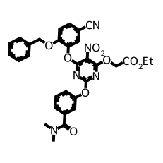 CCOC(=O)COc1nc(Oc2cccc(C(=O)N(C)C)c2)nc(Oc2cc(C#N)ccc2OCc2ccccc2)c1[N+](=O)[O-]